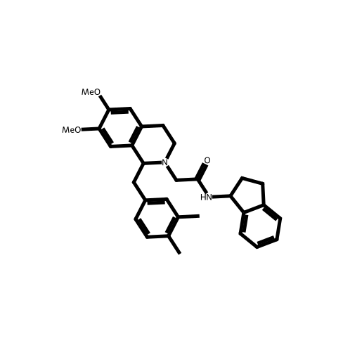 COc1cc2c(cc1OC)C(Cc1ccc(C)c(C)c1)N(CC(=O)NC1CCc3ccccc31)CC2